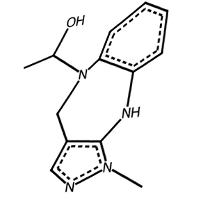 CC(O)N1Cc2cnn(C)c2Nc2ccccc21